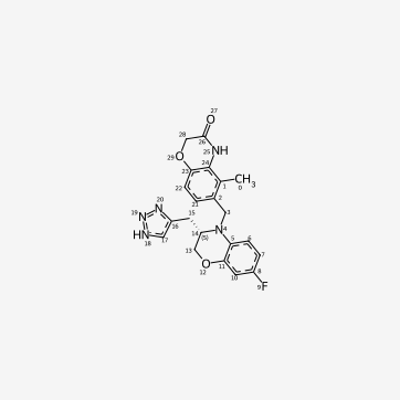 Cc1c(CN2c3ccc(F)cc3OC[C@@H]2Cc2c[nH]nn2)ccc2c1NC(=O)CO2